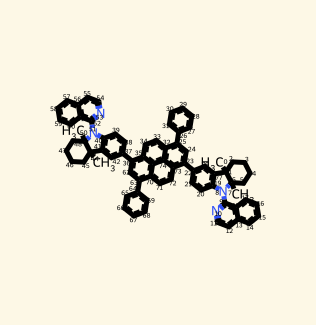 CC12CCCCC1(C)N(c1nccc3ccccc13)c1ccc(-c3cc(-c4ccccc4)c4ccc5c(-c6ccc7c(c6)C6(C)CCCCC6(C)N7c6nccc7ccccc67)cc(-c6ccccc6)c6ccc3c4c65)cc12